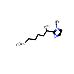 CCCCCCCCCCCCCCC(CCC)c1nccn1C(C)C